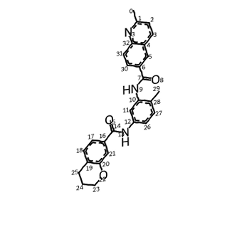 Cc1ccc2cc(C(=O)Nc3cc(NC(=O)c4ccc5c(c4)OCCC5)ccc3C)ccc2n1